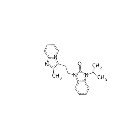 C=C(C)n1c(=O)n(CCc2c(C)nc3ccccn23)c2ccccc21